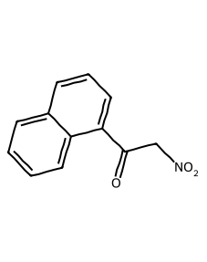 O=C(C[N+](=O)[O-])c1cccc2ccccc12